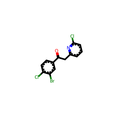 O=C(Cc1cccc(Cl)n1)c1ccc(Cl)c(Br)c1